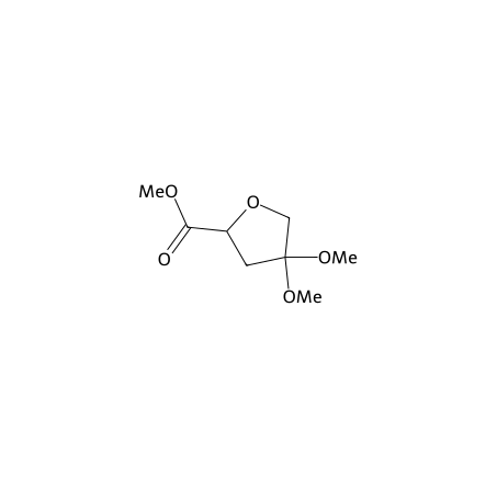 COC(=O)C1CC(OC)(OC)CO1